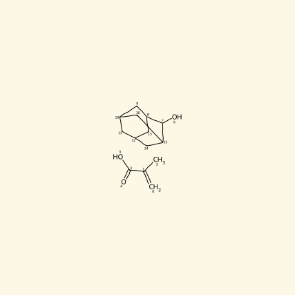 C=C(C)C(=O)O.OC1C2CC3CC(C2)CC1C3